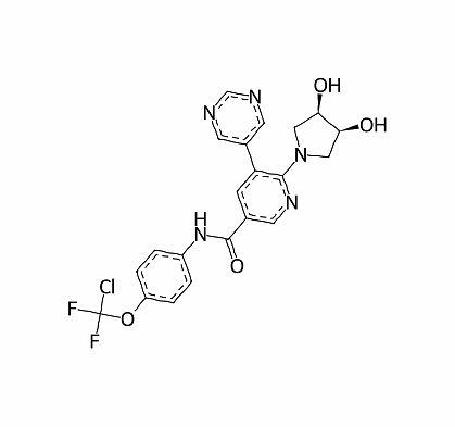 O=C(Nc1ccc(OC(F)(F)Cl)cc1)c1cnc(N2C[C@@H](O)[C@@H](O)C2)c(-c2cncnc2)c1